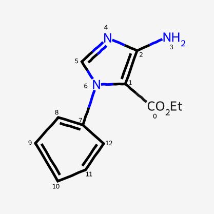 CCOC(=O)c1c(N)ncn1-c1ccccc1